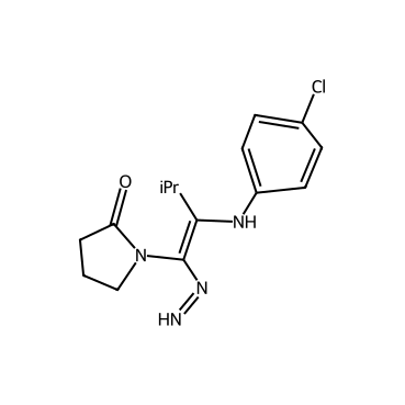 CC(C)/C(Nc1ccc(Cl)cc1)=C(/N=N)N1CCCC1=O